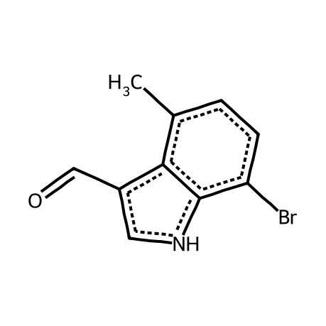 Cc1ccc(Br)c2[nH]cc(C=O)c12